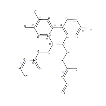 C=C/C=C(\C)CCC1c2cc(C)ccc2-c2cc(C)c(C)c[n+]2C1CC[N+](=C)/C=C\C